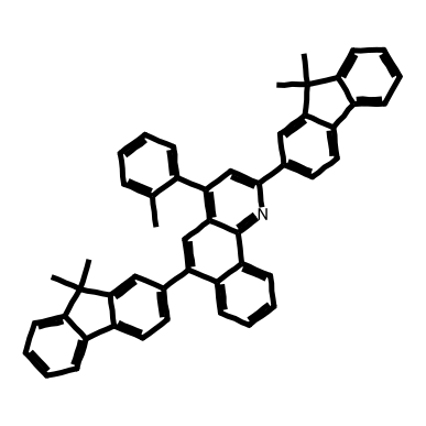 Cc1ccccc1-c1cc(-c2ccc3c(c2)C(C)(C)c2ccccc2-3)nc2c1cc(-c1ccc3c(c1)C(C)(C)c1ccccc1-3)c1ccccc12